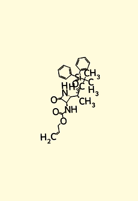 C=CCOC(=O)N[C@H]1C(=O)N[C@@H]1[C@H](C)CO[Si](c1ccccc1)(c1ccccc1)C(C)(C)C